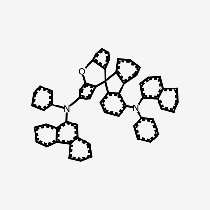 c1ccc(N(c2cccc3c2-c2ccccc2C32c3ccccc3Oc3cc(N(c4ccccc4)c4cc5ccccc5c5ccccc45)ccc32)c2cccc3ccccc23)cc1